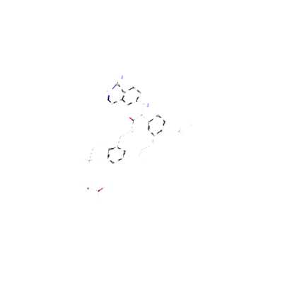 CCOc1cc(C(Nc2ccc3c(N)nccc3c2)C(=O)NCc2ccccc2SCC(F)(F)F)ccc1OC(C)C.O=C(O)C(F)(F)F